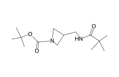 CC(C)(C)OC(=O)N1CC(CNC(=O)C(C)(C)C)C1